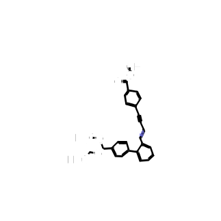 CCOC(OC)c1ccc(-c2ccccc2/C=C/C#Cc2ccc(C(=O)OC)cc2)cc1